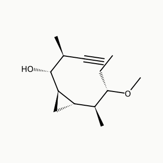 C#C[C@H](C)[C@@H](O)[C@@H]1C[C@H]1[C@H](C)[C@H](CC)OC